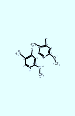 Cc1cc(OC(F)(F)F)ncc1N.Cc1cc(OC(F)(F)F)ncc1N